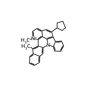 Cc1c2ccccc2cc2c1c1c3c(cc[n+]1C)cc(C1CCCC1)c1c4ccccc4n2c13